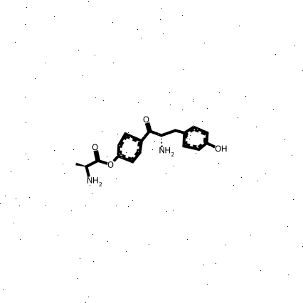 C[C@H](N)C(=O)Oc1ccc(C(=O)[C@@H](N)Cc2ccc(O)cc2)cc1